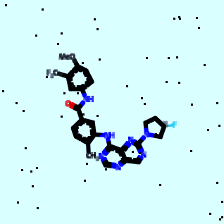 COc1ccc(NC(=O)c2ccc(C)c(Nc3ncnc4cnc(N5CC[C@H](F)C5)nc34)c2)cc1C(F)(F)F